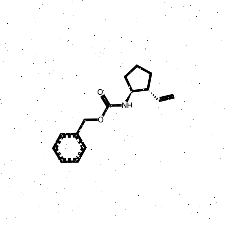 C=C[C@H]1CCC[C@@H]1NC(=O)OCc1ccccc1